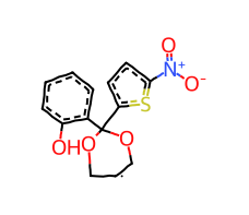 O=[N+]([O-])c1ccc(C2(c3ccccc3O)OC[CH]CO2)s1